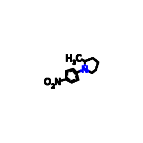 CC1CCCCN1c1ccc([N+](=O)[O-])cc1